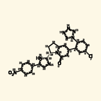 O=c1cc(-c2cc(Cl)ccc2-n2cnnn2)cc2n1[C@H](c1ncc(-c3ccc([N+](=O)[O-])cc3)[nH]1)CC2